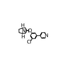 Clc1cc(OC2C[C@H]3CC[C@@H](C2)N3)cc(-c2ccncc2)c1